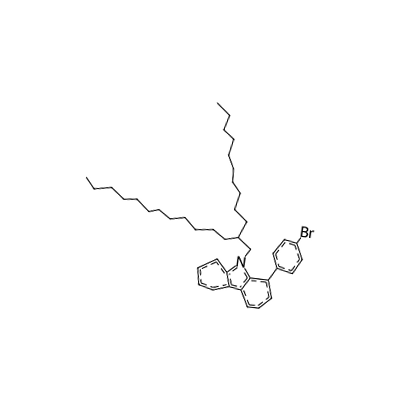 CCCCCCCCCCCCC(CCCCCCCCCC)Cn1c2ccccc2c2cccc(-c3ccc(Br)cc3)c21